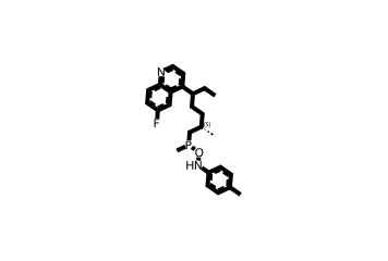 CCC(CC[C@H](C)CP(C)ONc1ccc(C)cc1)c1ccnc2ccc(F)cc12